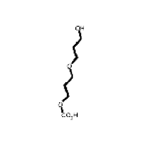 O=C(O)OCCCOCCCO